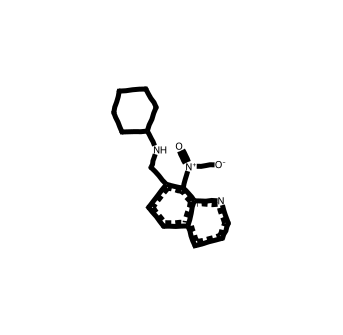 O=[N+]([O-])c1c(CNC2CCCCC2)ccc2cccnc12